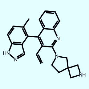 C=Cc1c(N2CCC3(CNC3)C2)nc2ccccc2c1-c1c(C)ccc2[nH]ncc12